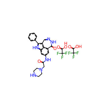 O=C(CN1CCNCC1)Nc1cc2c3c(c(-c4ccccc4)[nH]c3c1)C=NNC2=O.O=C(O)C(F)(F)F.O=C(O)C(F)(F)F